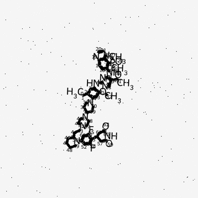 CCc1cc(Nc2ncc(C(C)=O)c(Nc3ccc4nccnc4c3P(C)(C)=O)n2)c(OC)cc1N1CCC(N2CCN(CCC3CCCCN3c3cc(F)c(C4CC(=O)NC(=O)C4)c(F)c3)CC2)CC1